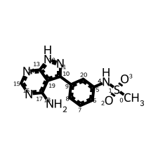 CS(=O)(=O)Nc1cccc(-c2n[nH]c3ncnc(N)c23)c1